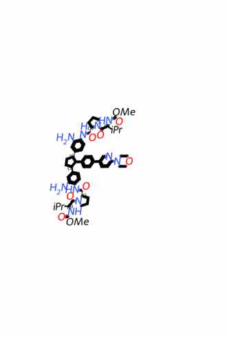 COC(=O)N[C@H](C(=O)N1CCC[C@H]1C(=O)Nc1ccc([C@H]2CC[C@H](c3ccc(NC(=O)[C@@H]4CCCN4C(=O)[C@@H](NC(=O)OC)C(C)C)c(N)c3)C2c2ccc(-c3ccc(N4CCOCC4)nc3)cc2)cc1N)C(C)C